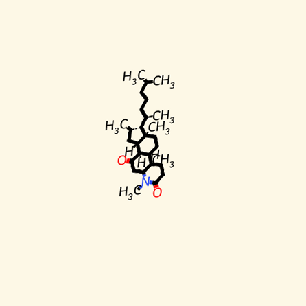 CC(C)CCC[C@@H](C)[C@H]1C(C)C[C@H]2[C@@H]3C(=O)CC4N(C)C(=O)CC[C@]4(C)[C@H]3CC[C@]12C